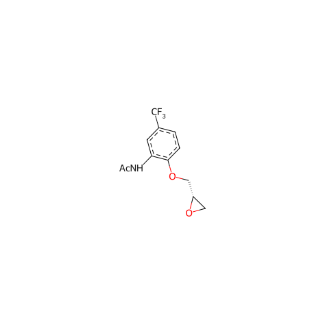 CC(=O)Nc1cc(C(F)(F)F)ccc1OC[C@@H]1CO1